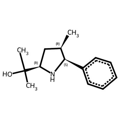 C[C@@H]1C[C@H](C(C)(C)O)N[C@@H]1c1ccccc1